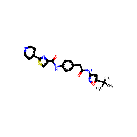 CC(C)(C)c1cc(NC(=O)Cc2ccc(NC(=O)c3csc(-c4ccncc4)n3)cc2)no1